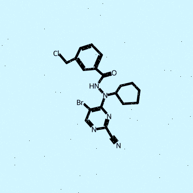 N#Cc1ncc(Br)c(N(NC(=O)c2cccc(CCl)c2)C2CCCCC2)n1